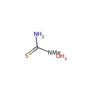 CNC(N)=S.O